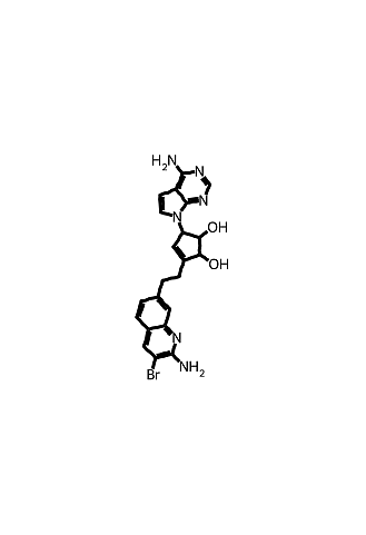 Nc1nc2cc(CCC3=CC(n4ccc5c(N)ncnc54)C(O)C3O)ccc2cc1Br